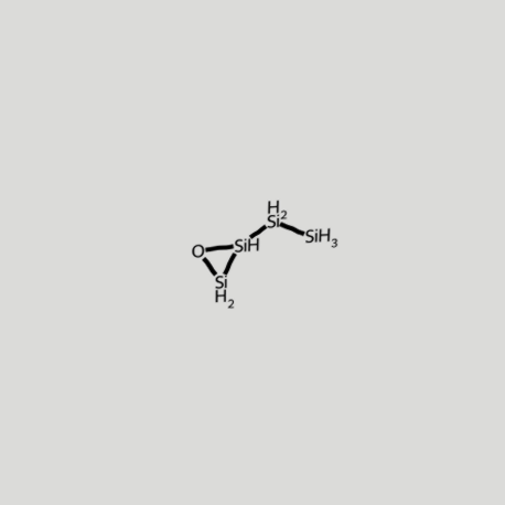 [SiH3][SiH2][SiH]1O[SiH2]1